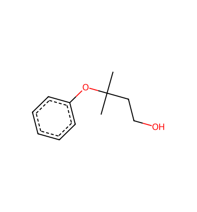 CC(C)(CCO)Oc1ccccc1